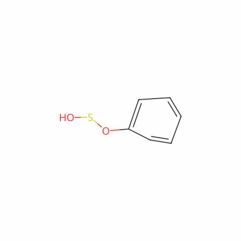 OSOc1ccccc1